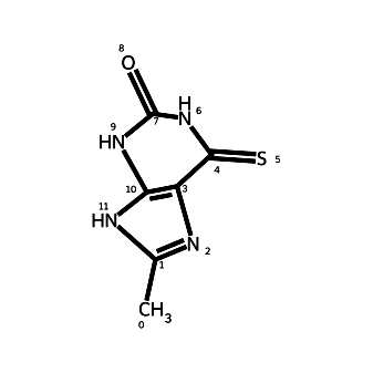 Cc1nc2c(=S)[nH]c(=O)[nH]c2[nH]1